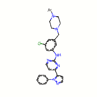 CC(=O)N1CCN(Cc2cc(Cl)cc(Nc3nccc(-c4ccnn4-c4ccccc4)n3)c2)CC1